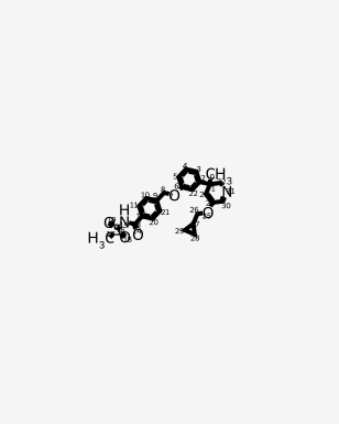 CC1(c2cccc(OCc3ccc(C(=O)NS(C)(=O)=O)cc3)c2)C=C(OCC2CC2)C=NC1